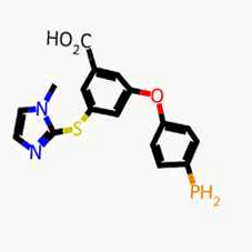 Cn1ccnc1Sc1cc(Oc2ccc(P)cc2)cc(C(=O)O)c1